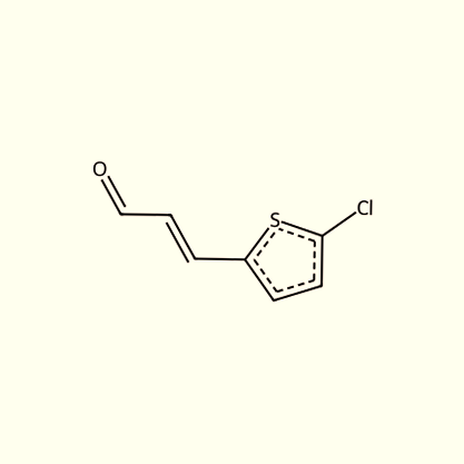 O=CC=Cc1ccc(Cl)s1